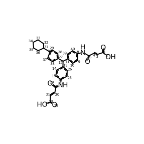 O=C(O)/C=C/C(=O)Nc1ccc(C(c2ccc(NC(=O)/C=C/C(=O)O)cc2)c2ccc(C3CCCCC3)cc2)cc1